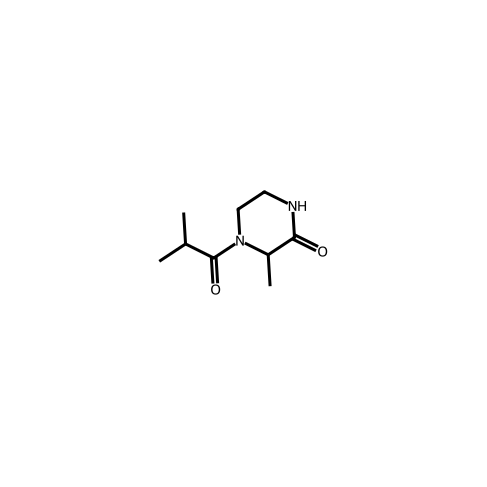 CC(C)C(=O)N1CCNC(=O)C1C